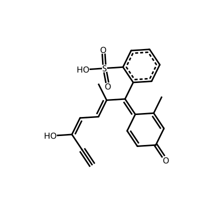 C#C\C(O)=C/C=C(C)/C(=C1\C=CC(=O)C=C1C)c1ccccc1S(=O)(=O)O